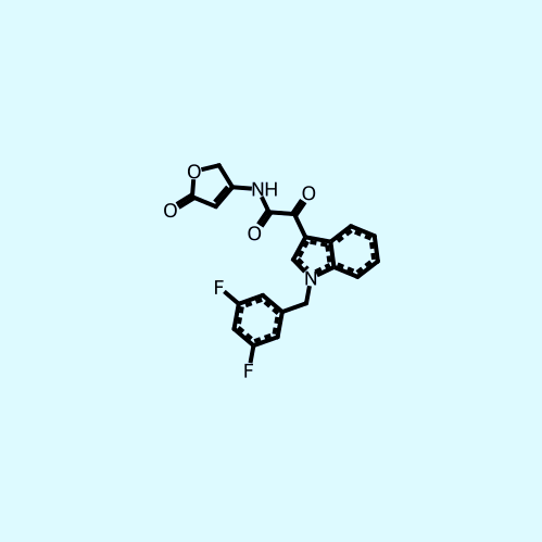 O=C1C=C(NC(=O)C(=O)c2cn(Cc3cc(F)cc(F)c3)c3ccccc23)CO1